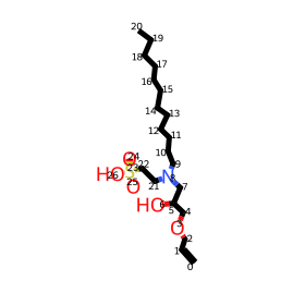 C=CCOCC(O)CN(CCCCCCCCCCCC)CCS(=O)(=O)O